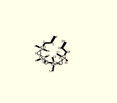 C=CC[Si](C)(C)O[Si](C)(C)O[Si](C)(C)O[Si](C)(C)CC=C